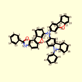 c1ccc(-c2nc3ccc4oc5c(N(c6ccc7c(c6)oc6ccccc67)c6ccc7c(c6)c6ccccc6n7-c6ccccc6)cccc5c4c3o2)cc1